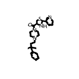 CC(C)(CCN1CCN(C(=O)C2CSC(c3cccnc3)N2)CC1)c1ccccc1